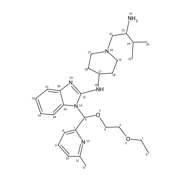 CCOCCOC(c1cccc(C)n1)n1c(NC2CCN(CC(N)C(C)C)CC2)nc2ccccc21